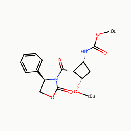 CC(C)(C)OC(=O)N[C@@H]1C[C@H](OC(C)(C)C)[C@@H]1C(=O)N1C(=O)OC[C@H]1c1ccccc1